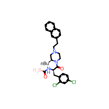 BC(=O)N[C@H](Cc1ccc(Cl)cc1Cl)C(=O)N1CCN(CCc2ccc3ccccc3c2)C[C@@H]1CCCC